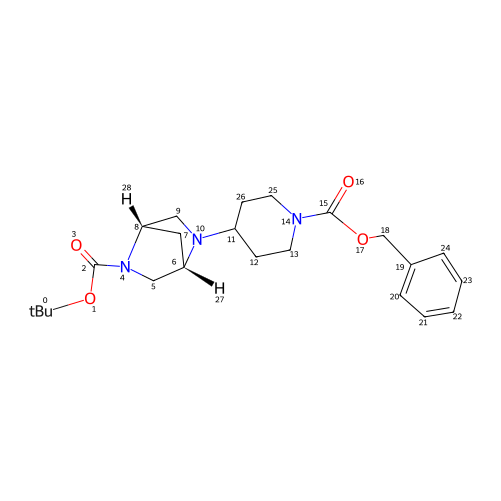 CC(C)(C)OC(=O)N1C[C@@H]2C[C@H]1CN2C1CCN(C(=O)OCc2ccccc2)CC1